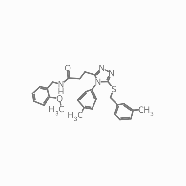 COc1ccccc1CNC(=O)CCc1nnc(SCc2cccc(C)c2)n1-c1ccc(C)cc1